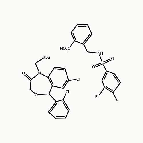 CC(C)(C)CN1C(=O)COC(c2ccccc2Cl)c2cc(Cl)ccc21.CCc1cc(S(=O)(=O)NCc2ccccc2C(=O)O)ccc1C